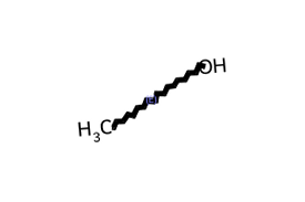 CCCCCCCC/C=C/CCCCCCCCCO